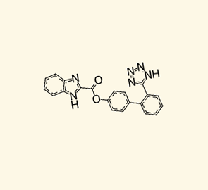 O=C(Oc1ccc(-c2ccccc2-c2nnn[nH]2)cc1)c1nc2ccccc2[nH]1